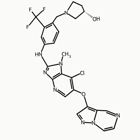 Cn1c(Nc2ccc(CN3CC[C@H](O)C3)c(C(F)(F)F)c2)nc2ncc(Oc3cnn4ccncc34)c(Cl)c21